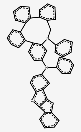 c1ccc(N2Cc3ccccc3-c3ccccc3-c3ccccc3-c3ccc(N(c4ccccc4)c4ccc5oc6c7ccccc7sc6c5c4)cc32)cc1